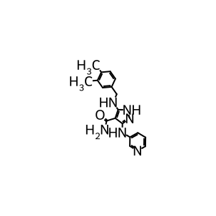 Cc1ccc(CNc2[nH]nc(Nc3cccnc3)c2C(N)=O)cc1C